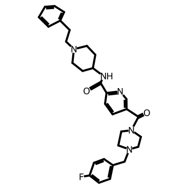 O=C(NC1CCN(CCc2ccccc2)CC1)c1ccc(C(=O)N2CCN(Cc3ccc(F)cc3)CC2)cn1